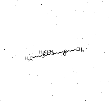 CCCCCCCCOC(=O)CCCCCCCCCCC(CC(=O)OCCCCCCCC)C(C)C